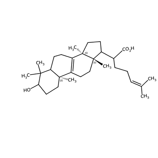 CC(C)=CCCC(C(=O)O)C1CC[C@]2(C)C3=C(CC[C@@]12C)[C@@]1(C)CCC(O)C(C)(C)C1CC3